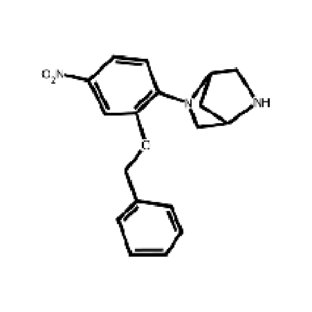 O=[N+]([O-])c1ccc(N2CC3CC2CN3)c(OCc2ccccc2)c1